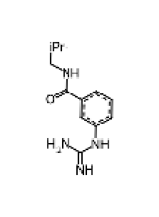 C[C](C)CNC(=O)c1cccc(NC(=N)N)c1